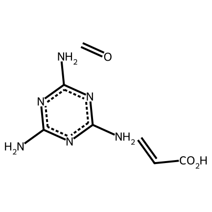 C=CC(=O)O.C=O.Nc1nc(N)nc(N)n1